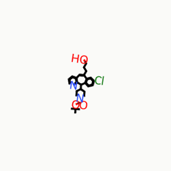 CC(C)(C)OC(=O)N1CCC(C2c3ccc(Cl)cc3C(CCCO)=Cc3cccnc32)CC1